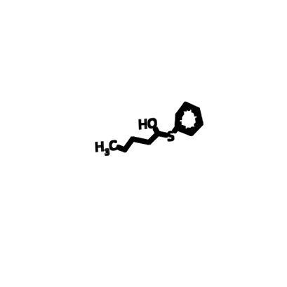 CCCCC(O)Sc1ccccc1